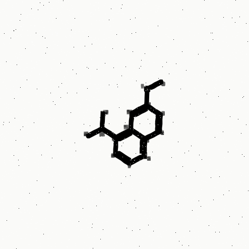 COc1ccc2nccc(C(C)C)c2c1